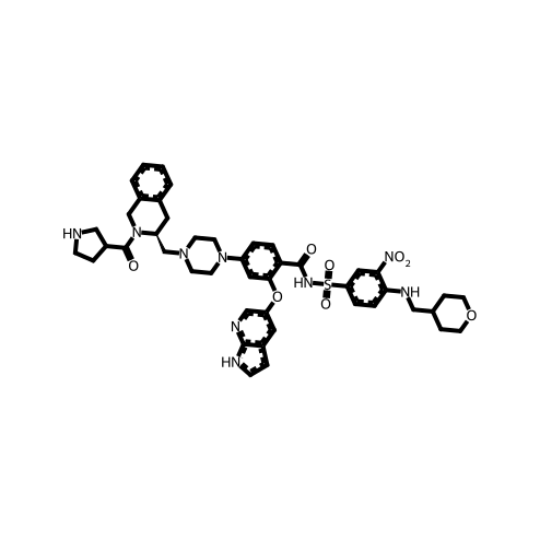 O=C(NS(=O)(=O)c1ccc(NCC2CCOCC2)c([N+](=O)[O-])c1)c1ccc(N2CCN(C[C@@H]3Cc4ccccc4CN3C(=O)C3CCNC3)CC2)cc1Oc1cnc2[nH]ccc2c1